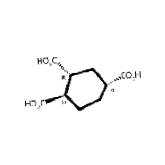 O=C(O)[C@@H]1CC[C@@H](C(=O)O)[C@H](C(=O)O)C1